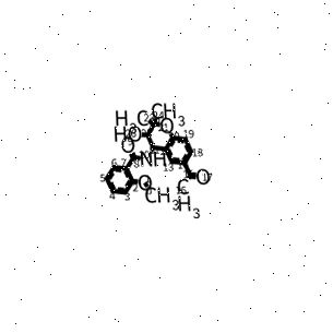 COc1ccccc1C(=O)NC1c2cc(C(C)=O)ccc2OC(C)(C)C1O